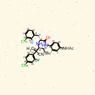 CC(=O)Nc1ccc(NC(=O)[C@@H](Cc2cccc(Cl)c2F)N[C@@H](CC(C)(C)C)[C@](C)(C#N)c2ccc(Cl)cc2F)cc1